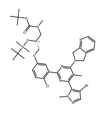 Cc1c(-c2c(Br)cnn2C)nc(-c2cc(OC[C@@H](CN(C)C(=O)OC(C)(C)C)O[Si](C)(C)C(C)(C)C)ccc2Cl)nc1N1Cc2cccnc2C1